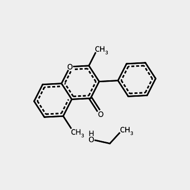 CCO.Cc1oc2cccc(C)c2c(=O)c1-c1ccccc1